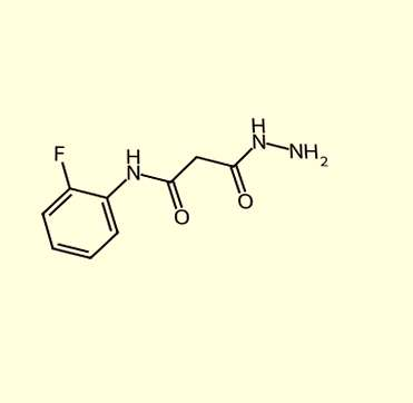 NNC(=O)CC(=O)Nc1ccccc1F